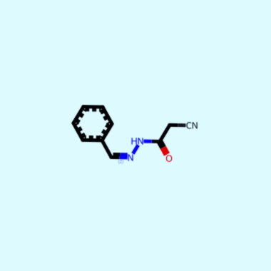 N#CCC(=O)N/N=C\c1ccccc1